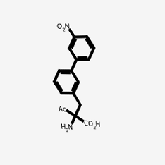 CC(=O)C(N)(Cc1cccc(-c2cccc([N+](=O)[O-])c2)c1)C(=O)O